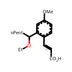 CCCCCC(OCC)c1cc(OC)ccc1/C=C/C(=O)O